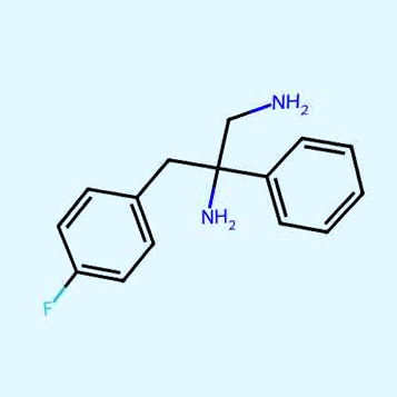 NCC(N)(Cc1ccc(F)cc1)c1ccccc1